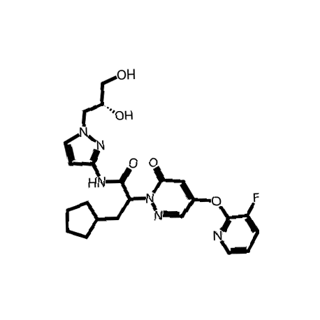 O=C(Nc1ccn(C[C@@H](O)CO)n1)C(CC1CCCC1)n1ncc(Oc2ncccc2F)cc1=O